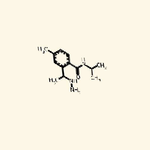 Cc1ccc(C(=O)NC(C)C)c(C(C)NN)c1